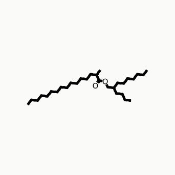 CCCCCCCCCCCCCCC(C)C(=O)OCC(CCCC)CCCCCCC